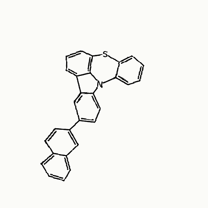 c1ccc2c(c1)Sc1cccc3c4cc(-c5ccc6ccccc6c5)ccc4n-2c13